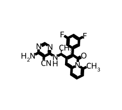 Cc1cccc2cc([C@@H](C)Nc3ncnc(N)c3C#N)c(-c3cc(F)cc(F)c3)c(=O)n12